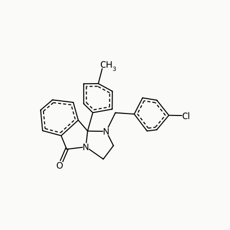 Cc1ccc(C23c4ccccc4C(=O)N2CCN3Cc2ccc(Cl)cc2)cc1